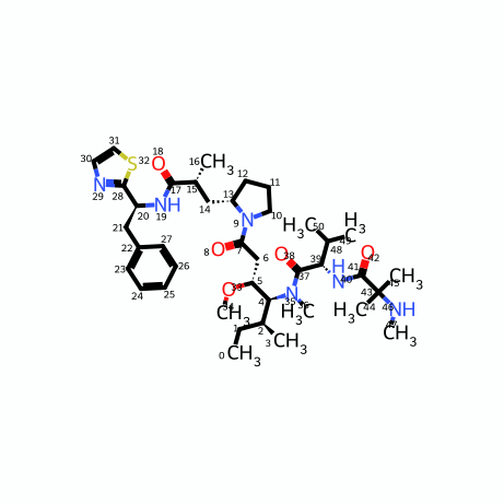 CC[C@H](C)[C@@H]([C@@H](CC(=O)N1CCC[C@H]1C[C@@H](C)C(=O)N[C@@H](Cc1ccccc1)c1nccs1)OC)N(C)C(=O)[C@@H](NC(=O)C(C)(C)NC)C(C)C